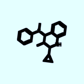 CC1C(C2CC2)Nc2ccccc2C1N(C)c1ccccc1